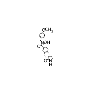 COc1ccc(CN(O)C(=O)c2ccc3c(c2)CC[C@@]2(CCNC2=O)C3)cc1